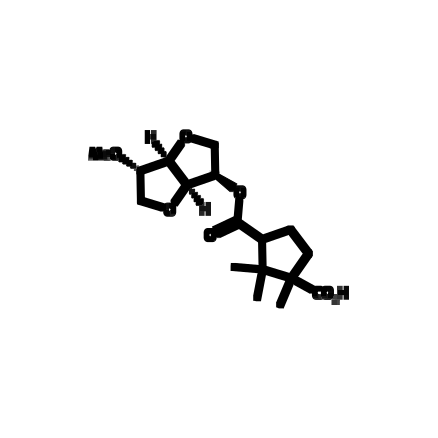 CO[C@H]1CO[C@H]2[C@@H]1OC[C@H]2OC(=O)C1CCC(C)(C(=O)O)C1(C)C